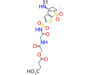 CCN[C@H]1C[C@H](C)S(=O)(=O)c2sc(S(=O)(=O)NC(=O)CNC(=O)COC(=O)CCC(=O)O)cc21